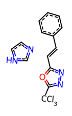 ClC(Cl)(Cl)c1nnc(C=Cc2ccccc2)o1.c1c[nH]cn1